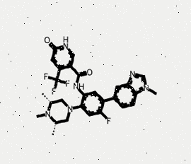 C[C@@H]1CN(c2cc(F)c(-c3ccc4c(c3)ncn4C)cc2NC(=O)c2c[nH]c(=O)cc2C(F)(F)F)C[C@H](C)N1C